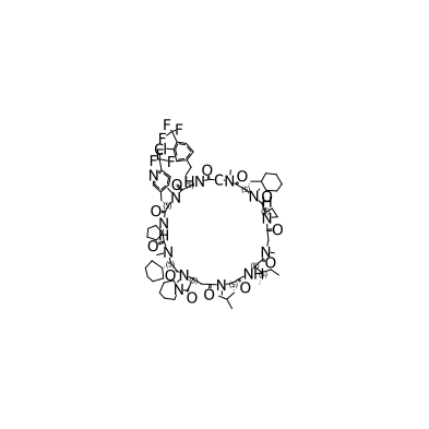 CC[C@H](C)[C@@H]1NC(=O)[C@H](CC(C)C)N(C)C(=O)C[C@@H](C(=O)N2CCCCC2)N(C)C(=O)[C@H](C2CCCCC2)N(C)C(=O)C2(CCCC2)NC(=O)[C@H](Cc2ccc(C(F)(F)F)nc2)N(C)C(=O)[C@H](CCc2ccc(C(F)(F)F)c(Cl)c2)NC(=O)CN(C)C(=O)[C@H](CC2CCCCC2)N(C)C(=O)[C@@H]2CCN2C(=O)CN(C)C1=O